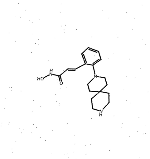 O=C(C=Cc1ccccc1N1CCC2(CCNCC2)CC1)NO